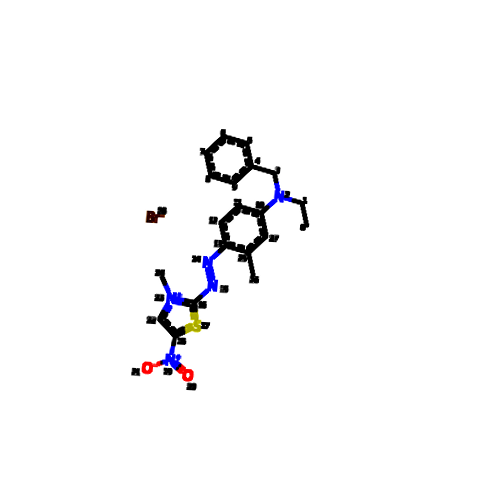 CCN(Cc1ccccc1)c1ccc(/N=N/c2sc([N+](=O)[O-])c[n+]2C)c(C)c1.[Br-]